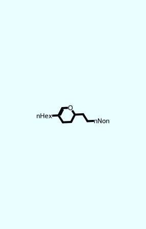 CCCCCCCCCCCC1CCC(CCCCCC)=CO1